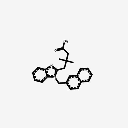 CC(C)(CC(=O)O)Cc1nc2ccccc2n1Cc1ccc2ccccc2c1